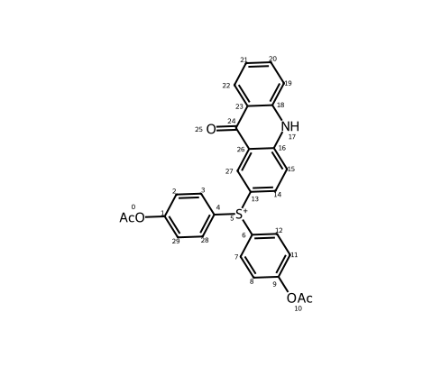 CC(=O)Oc1ccc([S+](c2ccc(OC(C)=O)cc2)c2ccc3[nH]c4ccccc4c(=O)c3c2)cc1